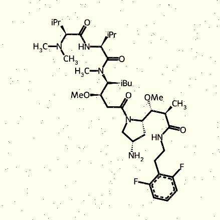 CC[C@H](C)[C@@H]([C@@H](CC(=O)N1C[C@@H](N)C[C@H]1[C@H](OC)[C@@H](C)C(=O)NCCc1c(F)cccc1F)OC)N(C)C(=O)[C@@H](NC(=O)[C@H](C(C)C)N(C)C)C(C)C